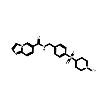 CC(C)N1CCC(S(=O)(=O)c2ccc(CNC(=O)c3ccc4nccn4c3)cc2)CC1